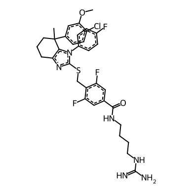 COc1cc(C2(C)CCCc3nc(SCc4c(F)cc(C(=O)NCCCCNC(=N)N)cc4F)n(-c4ccc(F)cc4)c32)ccc1Cl